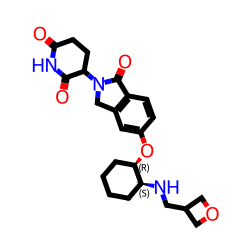 O=C1CCC(N2Cc3cc(O[C@@H]4CCCC[C@@H]4NCC4COC4)ccc3C2=O)C(=O)N1